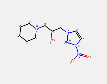 O=[N+]([O-])N1C=CN(CC(O)CN2CCCCC2)N1